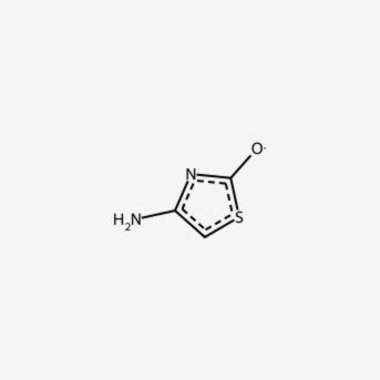 Nc1csc([O])n1